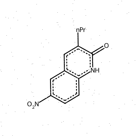 CCCc1cc2cc([N+](=O)[O-])ccc2[nH]c1=O